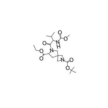 CCOC(=O)C1CC2(CN(C(=O)OC(C)(C)C)C2)CN1C(=O)C(NC(=O)OC)C(C)C